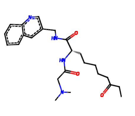 CCC(=O)CCCCC[C@H](NC(=O)CN(C)C)C(=O)NCc1cnc2ccccc2c1